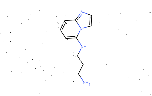 NCCCNc1cccc2nccn12